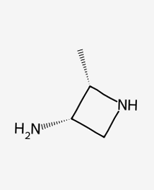 C[C@@H]1NC[C@@H]1N